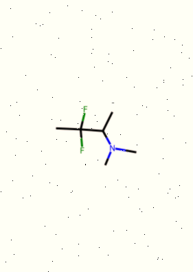 CC(N(C)C)C(C)(F)F